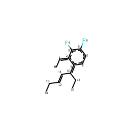 C/C=c1/c(F)c(F)cc/c1=C(/C=C/CC)CC